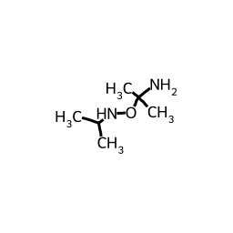 CC(C)NOC(C)(C)N